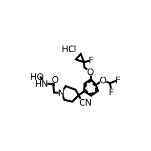 Cl.N#CC1(c2ccc(OC(F)F)c(OCC3(F)CC3)c2)CCN(CC(=O)NO)CC1